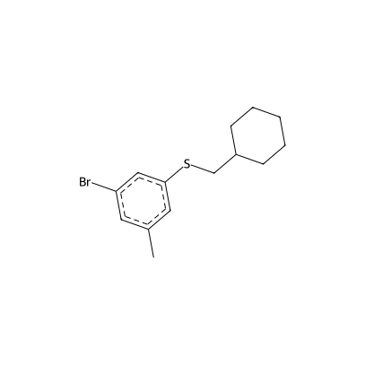 Cc1cc(Br)cc(SCC2CCCCC2)c1